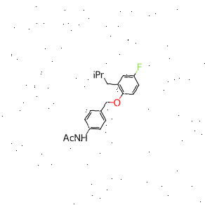 CC(=O)Nc1ccc(COc2ccc(F)cc2CC(C)C)cc1